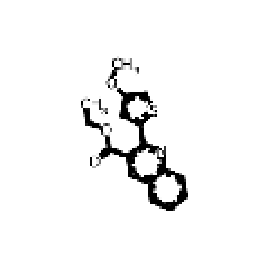 CCOC(=O)c1cc2ccccc2nc1-c1cc(OC)cs1